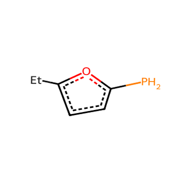 CCc1ccc(P)o1